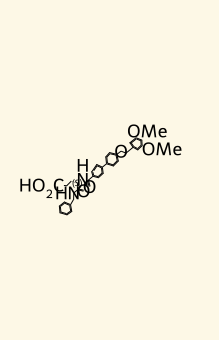 COc1cc(COc2ccc(-c3ccc(C(=O)N[C@@H](CCC(=O)O)C(=O)NCc4ccccc4)cc3)cc2)cc(OC)c1